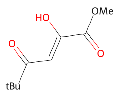 COC(=O)C(O)=CC(=O)C(C)(C)C